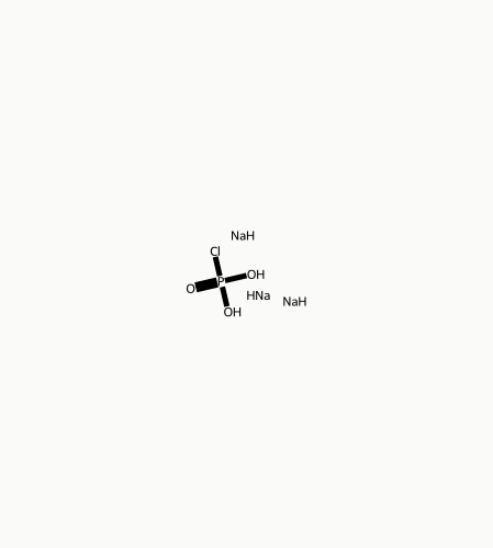 O=P(O)(O)Cl.[NaH].[NaH].[NaH]